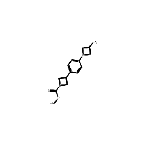 CC(C)(C)OC(=O)N1CC(c2ccc(N3CC(C(F)(F)F)C3)cc2)C1